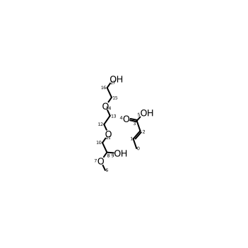 CC=CC(=O)O.COC(O)COCCOCCO